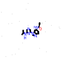 C#CC(=O)Nc1ccc2ncn(-c3cncc(NC(=C)C)n3)c2c1